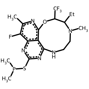 CCC1C(C(F)(F)F)Oc2nc(C)c(F)c3nc(SP(C)C)nc(c23)NCCN1C